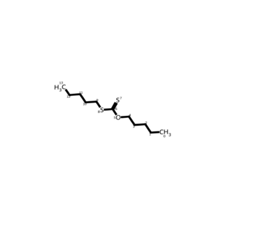 CCCCCOC(=S)SCCCCC